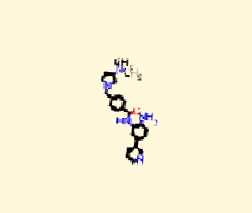 CN(C)[C@@H]1CCN(Cc2ccc(C(=O)Nc3cc(-c4cccnc4)ccc3N)cc2)C1